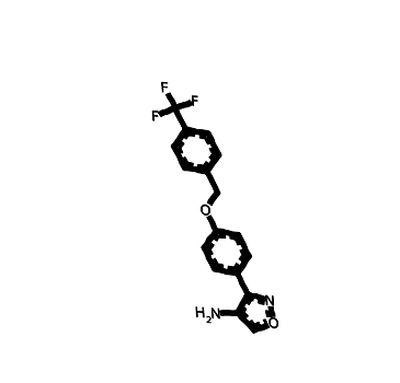 Nc1conc1-c1ccc(OCc2ccc(C(F)(F)F)cc2)cc1